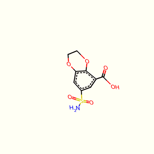 NS(=O)(=O)c1cc2c(c(C(=O)O)c1)OCCO2